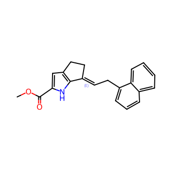 COC(=O)c1cc2c([nH]1)/C(=C/Cc1cccc3ccccc13)CC2